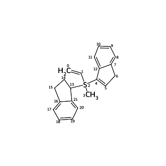 C=CS(C)(C1=CCc2ccccc21)C1CCc2ccccc21